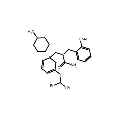 CCCC(CC)OC1=CC=CC(CN(Cc2ccccc2OC)C(N)=O)([C@H]2CC[C@H](N)CC2)C1